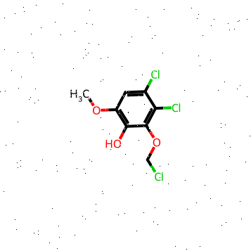 COc1cc(Cl)c(Cl)c(OCCl)c1O